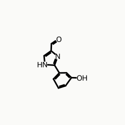 O=Cc1c[nH]c(-c2cccc(O)c2)n1